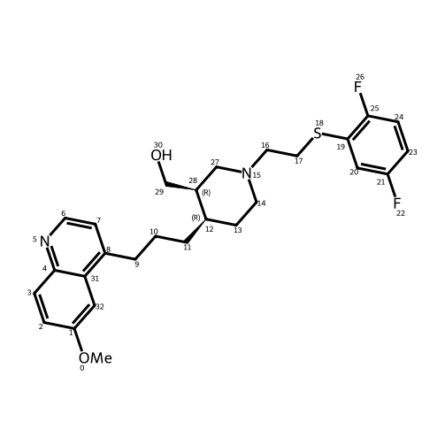 COc1ccc2nccc(CCC[C@@H]3CCN(CCSc4cc(F)ccc4F)C[C@@H]3CO)c2c1